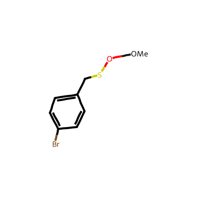 COOSCc1ccc(Br)cc1